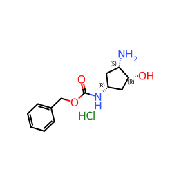 Cl.N[C@H]1C[C@@H](NC(=O)OCc2ccccc2)C[C@H]1O